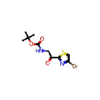 CC(C)(C)OC(=O)NCC(=O)c1nc(Br)cs1